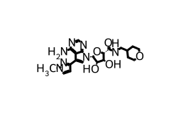 Cn1ccc(-c2cn([C@@H]3O[C@H](C(=O)NCC4CCOCC4)[C@@H](O)[C@H]3O)c3ncnc(N)c23)n1